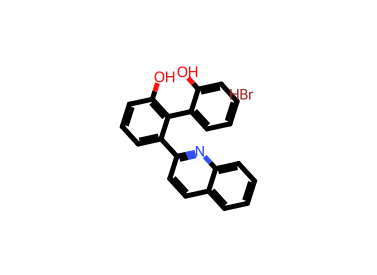 Br.Oc1ccccc1-c1c(O)cccc1-c1ccc2ccccc2n1